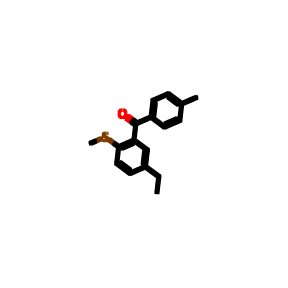 CCc1ccc(SC)c(C(=O)c2ccc(C)cc2)c1